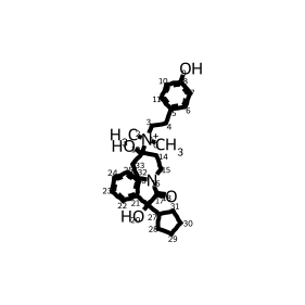 C[N+](C)(CCc1ccc(O)cc1)C1(O)CCN(C(=O)C(O)(c2ccccc2)C2CCCC2)CC1